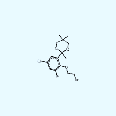 CC1(C)COC(C)(c2cc(Cl)cc(Br)c2OCCBr)OC1